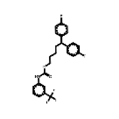 O=C(NCCCCC(c1ccc(F)cc1)c1ccc(F)cc1)Nc1cccc(C(F)(F)F)c1